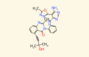 Cc1nnc(-c2c(N)ncnc2NC(C)c2nc3cccc(C#CC(C)(C)O)c3c(=O)n2-c2ccccc2)o1